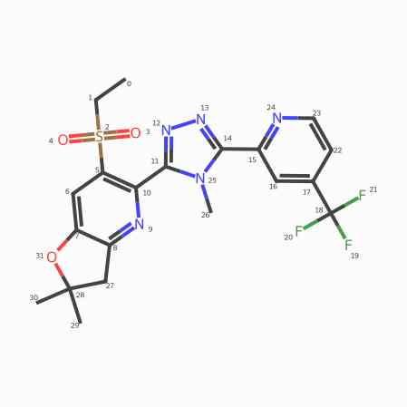 CCS(=O)(=O)c1cc2c(nc1-c1nnc(-c3cc(C(F)(F)F)ccn3)n1C)CC(C)(C)O2